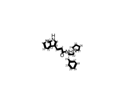 O=C(C=Cc1c[nH]c2ncccc12)N[C@@H](Cc1ccccc1)CN1CCCC1